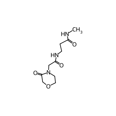 CNC(=O)CCNC(=O)CN1CCOCC1=O